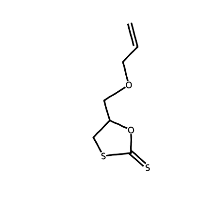 C=CCOCC1CSC(=S)O1